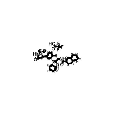 O=C(O)C(F)(F)F.O=C1CC(c2ccc(C[C@H](NC(=O)C3CCc4ccccc4C3)c3nc4ccccc4[nH]3)cc2)S(=O)(=O)N1